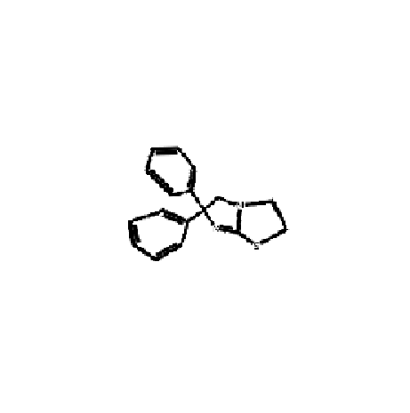 c1ccc(C2(c3ccccc3)CN3CCSC3=N2)cc1